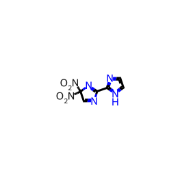 O=[N+]([O-])C1([N+](=O)[O-])C=NC(c2ncc[nH]2)=N1